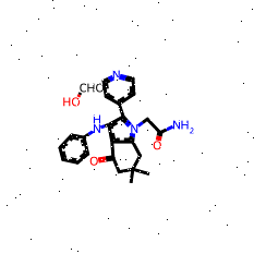 CC1(C)CC(=O)c2c(Nc3ccccc3)c(-c3ccncc3)n(CC(N)=O)c2C1.O=CO